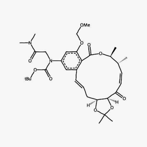 COCOc1cc(N(CC(=O)N(C)C)C(=O)OC(C)(C)C)cc2c1C(=O)O[C@@H](C)[C@H](C)/C=C\C(=O)[C@H]1OC(C)(C)O[C@H]1C/C=C/2